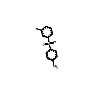 Nc1ccc(S(=O)(=O)c2cccc(I)c2)cc1